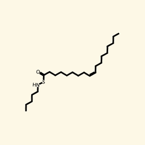 CCCCCCCC/C=C\CCCCCCCC(=O)SNCCCCC